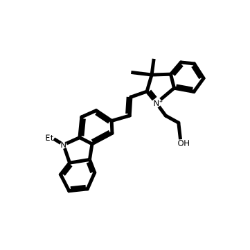 CCn1c2ccccc2c2cc(/C=C/C3=[N+](CCO)c4ccccc4C3(C)C)ccc21